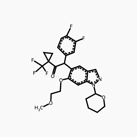 COCCOc1cc2c(cnn2C2CCCCO2)cc1C(C(=O)C1(C(F)(F)F)CC1)c1ccc(F)c(F)c1